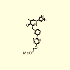 COCCOc1cnc(-c2cccc(Cc3nn(-c4cnn(C)c4)cc(I)c3=O)c2)nc1